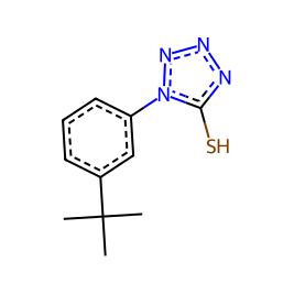 CC(C)(C)c1cccc(-n2nnnc2S)c1